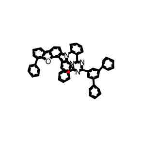 c1ccc(-c2cc(-c3ccccc3)cc(-c3nc(-c4ccccc4)nc(-c4ccccc4-n4c5ccccc5c5c6oc7c(-c8ccccc8)cccc7c6ccc54)n3)c2)cc1